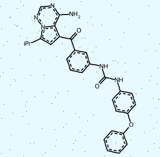 CC(C)c1cc(C(=O)c2cccc(NC(=O)Nc3ccc(Oc4ccccc4)cc3)c2)c2c(N)ncnn12